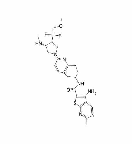 CNC1CN(c2ccc3c(n2)CCC(NC(=O)c2sc4nc(C)ncc4c2N)C3)CC1C(F)(F)COC